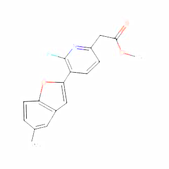 COc1ccc2oc(-c3ccc(CC(=O)OC(C)(C)C)nc3F)cc2c1